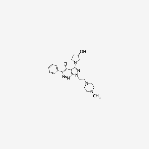 CN1CCN(CCn2nc(N3CC[C@@H](O)C3)c3c(Cl)c(-c4ccccc4)nnc32)CC1